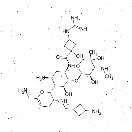 CN[C@@H]1[C@@H](O)[C@@H](O[C@H]2[C@H](NC(=O)C3(O)CC(NC(=N)N)C3)C[C@H](N)C([C@H]3OC(CN)=CC[C@H]3NCC3CC(N)C3)[C@@H]2O)OC[C@]1(C)O